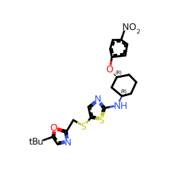 CC(C)(C)c1cnc(CSc2cnc(N[C@@H]3CCC[C@@H](Oc4ccc([N+](=O)[O-])cc4)C3)s2)o1